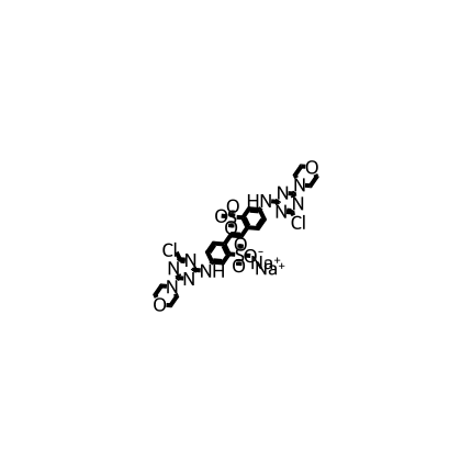 O=S(=O)([O-])c1cc(Nc2nc(Cl)nc(N3CCOCC3)n2)ccc1/C=C/c1ccc(Nc2nc(Cl)nc(N3CCOCC3)n2)cc1S(=O)(=O)[O-].[Na+].[Na+]